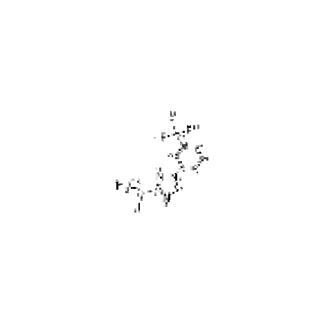 CC(I)c1ncn(-c2cccc(C(F)(F)F)c2)n1